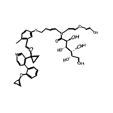 Cc1ccc(SCCCCN(CCOCCO)C(=O)[C@@H](O)[C@@H](O)[C@H](O)[C@@H](O)CO)cc1COC1(c2cnccc2-c2ccccc2OC2CC2)CC1